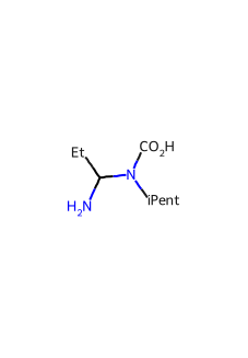 CCCC(C)N(C(=O)O)C(N)CC